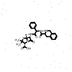 CC1(C)S[C@@H]2[C@H](NC(=O)C(NC(=O)C3Cc4ccccc4CN3)c3ccccc3)C(=O)N2[C@H]1C(=O)O